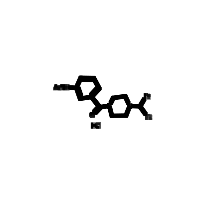 CCC(CC)N1CCN(C(=O)c2cccc(NC(C)=O)c2)CC1.Cl